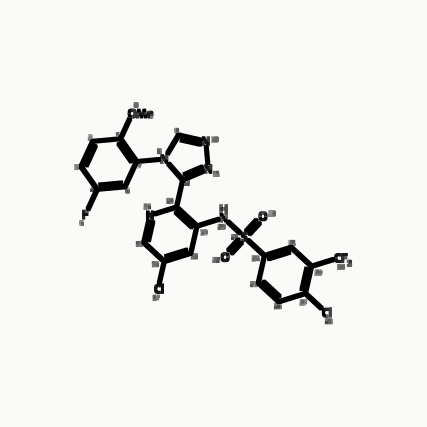 COc1ccc(F)cc1-n1cnnc1-c1ncc(Cl)cc1NS(=O)(=O)c1ccc(Cl)c(C(F)(F)F)c1